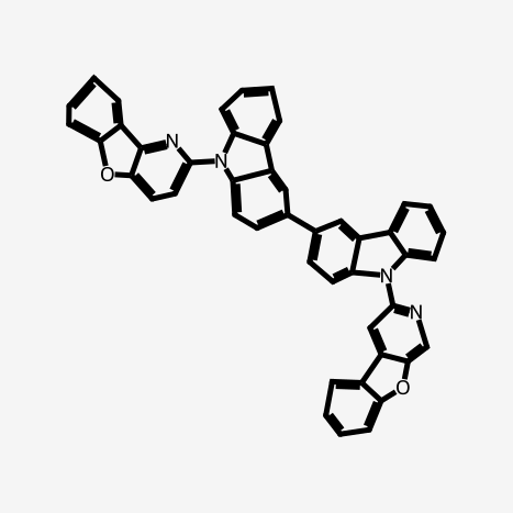 c1ccc2c(c1)oc1cnc(-n3c4ccccc4c4cc(-c5ccc6c(c5)c5ccccc5n6-c5ccc6oc7ccccc7c6n5)ccc43)cc12